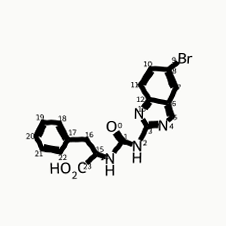 O=C(Nc1ncc2cc(Br)ccc2n1)NC(Cc1ccccc1)C(=O)O